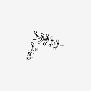 [Al+3].[Bi+3].[O]=[GeH][O-].[O]=[GeH][O-].[O]=[GeH][O-].[O]=[GeH][O-].[O]=[GeH][O-].[O]=[GeH][O-]